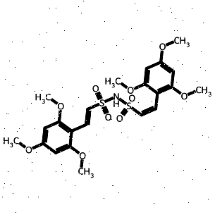 COc1cc(OC)c(/C=C\S(=O)(=O)NS(=O)(=O)/C=C/c2c(OC)cc(OC)cc2OC)c(OC)c1